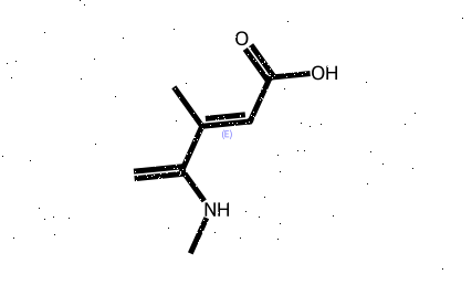 C=C(NC)/C(C)=C/C(=O)O